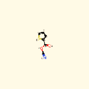 N#COC(=O)c1cccs1